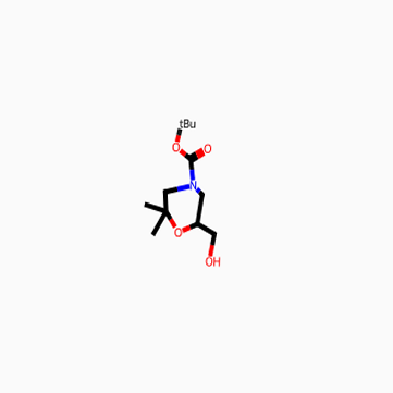 CC(C)(C)OC(=O)N1CC(CO)OC(C)(C)C1